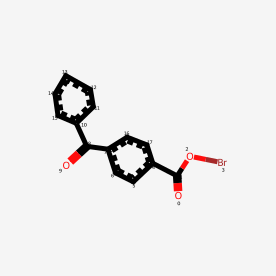 O=C(OBr)c1ccc(C(=O)c2ccccc2)cc1